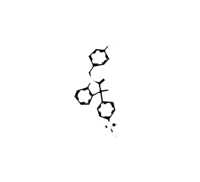 NS(=O)(=O)c1ccc(C2(O)C(=O)N(Cc3ccc(Br)cc3)c3ccccc32)cc1